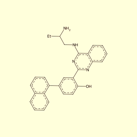 CCC(N)CNc1nc(-c2cc(-c3cccc4ccccc34)ccc2O)nc2ccccc12